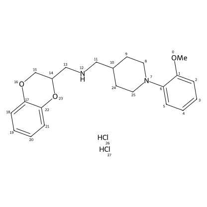 COc1ccccc1N1CCC(CNCC2COc3ccccc3O2)CC1.Cl.Cl